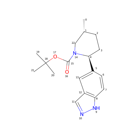 C[C@@H]1CC[C@@H](c2ccc3[nH]ncc3c2)N(C(=O)OC(C)(C)C)C1